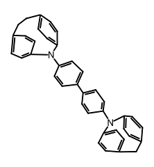 c1cc2ccc1CCc1ccc(cc1)N2c1ccc(-c2ccc(N3c4ccc(cc4)Cc4ccc3cc4)cc2)cc1